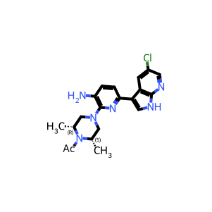 CC(=O)N1[C@H](C)CN(c2nc(-c3c[nH]c4ncc(Cl)cc34)ccc2N)C[C@@H]1C